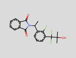 CC(c1cccc(C(F)(F)C(C)(C)O)c1F)N1C(=O)c2ccccc2C1=O